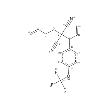 C=CCCC(C#N)(C#N)C(C=C)c1ccc(OC(F)(F)F)cc1